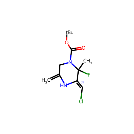 C=C1CN(C(=O)OC(C)(C)C)C(C)(F)/C(=C/Cl)N1